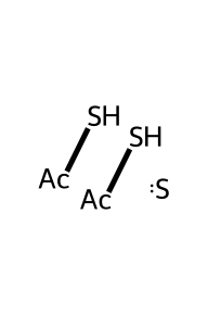 CC(=O)S.CC(=O)S.[S]